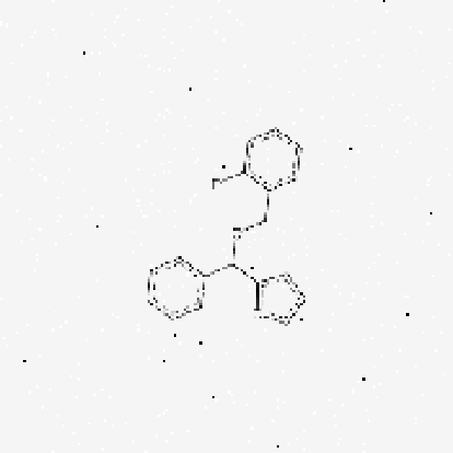 Fc1ccccc1COC(c1ccccc1)c1ccco1